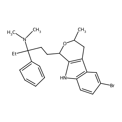 CCC(CCC1OC(C)Cc2c1[nH]c1ccc(Br)cc21)(c1ccccc1)N(C)C